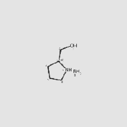 B.OC[C@@H]1CCCN1